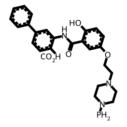 O=C(Nc1cc(-c2ccccc2)ccc1C(=O)O)c1cc(OCCN2CCN(P)CC2)ccc1O